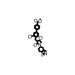 COC(=O)c1ccc(-c2cc(Cl)c(CC3CCN(C4CCc5c(cnn5C)C4)C3=O)c(Cl)c2)cc1